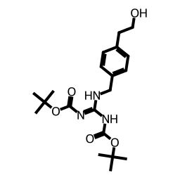 CC(C)(C)OC(=O)/N=C(\NCc1ccc(CCO)cc1)NC(=O)OC(C)(C)C